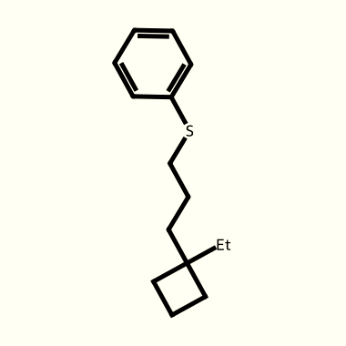 CCC1(CCCSc2ccccc2)CCC1